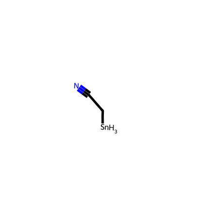 N#C[CH2][SnH3]